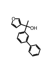 CC(O)(c1ccoc1)c1cccc(-c2ccccc2)c1